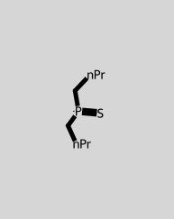 CCCC[P](=S)CCCC